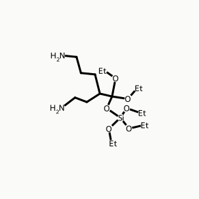 CCOC(OCC)(O[Si](OCC)(OCC)OCC)C(CCN)CCCN